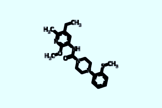 CCc1cc(NC(=O)N2CCN(c3ccccc3SC)CC2)c(OC)nc1C